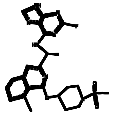 Cc1cccc2cc([C@H](C)Nc3nc(F)nc4[nH]cnc34)nc(OC3CCN(S(C)(=O)=O)CC3)c12